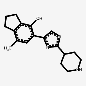 Cc1cc(-c2csc(C3CCNCC3)n2)c(O)c2c1CCC2